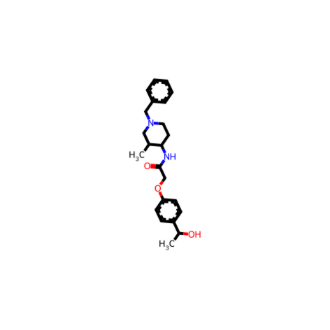 CC(O)c1ccc(OCC(=O)NC2CCN(Cc3ccccc3)CC2C)cc1